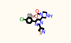 CC(C)(C)OC(=O)N1CCNCC1c1cc(-c2ccc(Cl)cc2)nc(-c2cnsc2)n1